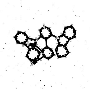 N#Cc1cccc(-c2c(-n3c4ccccc4c4ccccc43)cncc2-n2c3ccccc3c3ccccc32)c1C#N